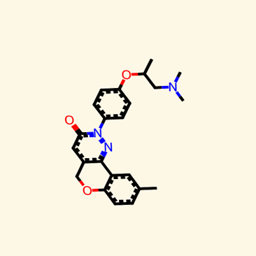 Cc1ccc2c(c1)-c1nn(-c3ccc(OC(C)CN(C)C)cc3)c(=O)cc1CO2